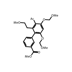 COCCc1c(C(C)=O)c(OCOC)cc(OCOC)c1-c1cccc(C(=O)OC)c1